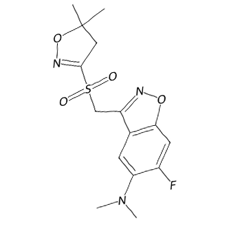 CN(C)c1cc2c(CS(=O)(=O)C3=NOC(C)(C)C3)noc2cc1F